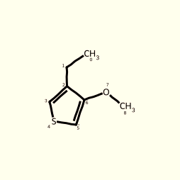 CCc1cs[c]c1OC